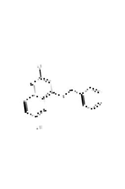 Cc1ccc2nc(Cl)cc(OCc3ccccc3)c2n1